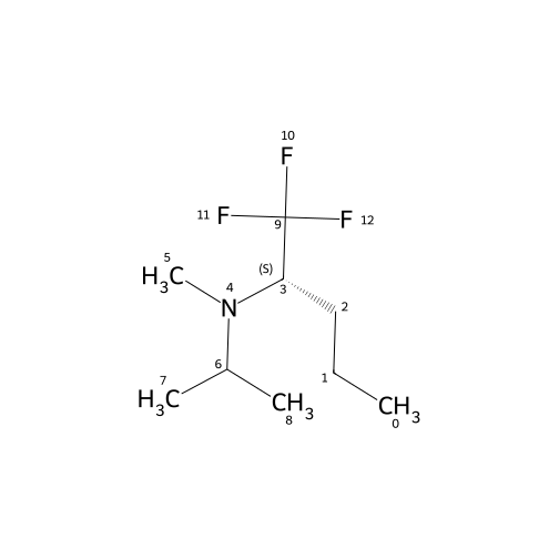 CCC[C@H](N(C)C(C)C)C(F)(F)F